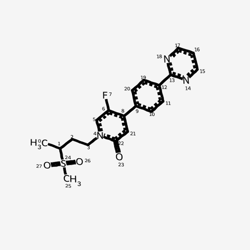 CC(CCn1cc(F)c(-c2ccc(-c3ncccn3)cc2)cc1=O)S(C)(=O)=O